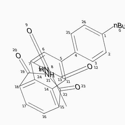 CCCCc1ccc(-c2cc3c(=O)[nH]c(=O)c2c2c4ccc(c(=O)[nH]c4=O)c32)cc1